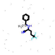 C[C@@H](NC(C#N)CCC(F)(F)F)c1ccccc1